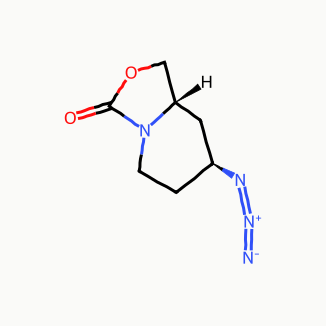 [N-]=[N+]=N[C@H]1CCN2C(=O)OC[C@@H]2C1